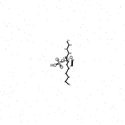 C=C.CCCCCCCCCCCC.O.O=S(=O)(O)O